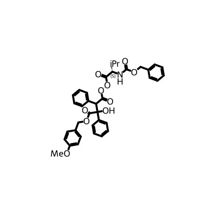 COc1ccc(COC(=O)C(O)(c2ccccc2)C(C(=O)OOC(=O)[C@@H](NC(=O)OCc2ccccc2)C(C)C)c2ccccc2)cc1